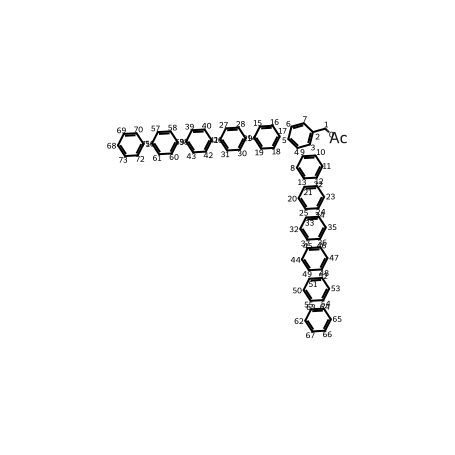 CC(=O)Cc1ccccc1.c1ccccc1.c1ccccc1.c1ccccc1.c1ccccc1.c1ccccc1.c1ccccc1.c1ccccc1.c1ccccc1.c1ccccc1.c1ccccc1.c1ccccc1